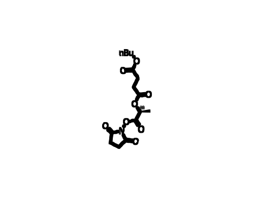 CCCCOC(=O)CCC(=O)O[C@@H](C)C(=O)ON1C(=O)CCC1=O